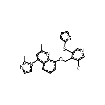 Cc1cc(-n2ccnc2C)c2cccc(OCc3c(Cl)cncc3Sc3cccs3)c2n1